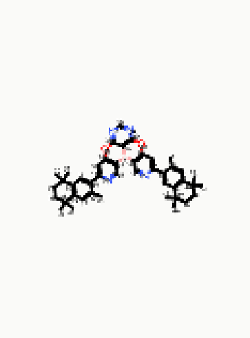 Cc1cc2c(cc1-c1cc3c(cn1)B1c4cnc(-c5cc6c(cc5C)C(C)(C)CCC6(C)C)cc4Oc4ncnc(c41)O3)C(C)(C)CCC2(C)C